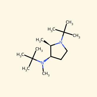 C[C@@H]1[C@H](N(C)C(C)(C)C)CCN1C(C)(C)C